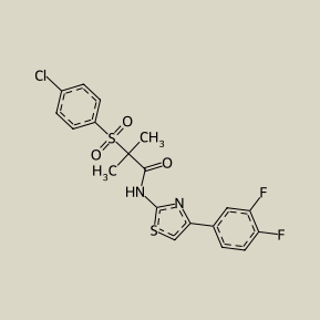 CC(C)(C(=O)Nc1nc(-c2ccc(F)c(F)c2)cs1)S(=O)(=O)c1ccc(Cl)cc1